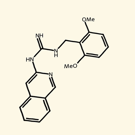 COc1cccc(OC)c1CNC(=N)Nc1cc2ccccc2cn1